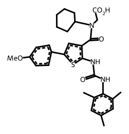 COc1ccc(-c2cc(C(=O)N(CC(=O)O)C3CCCCC3)c(NC(=O)Nc3c(C)cc(C)cc3C)s2)cc1